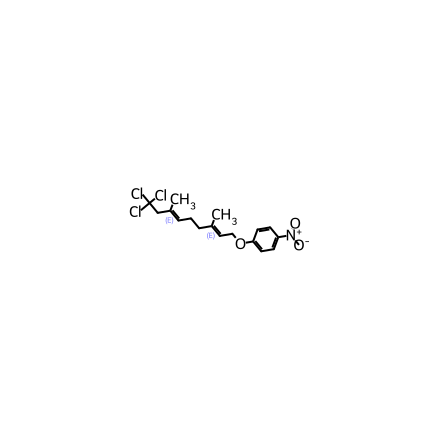 C/C(=C\COc1ccc([N+](=O)[O-])cc1)CC/C=C(\C)CC(Cl)(Cl)Cl